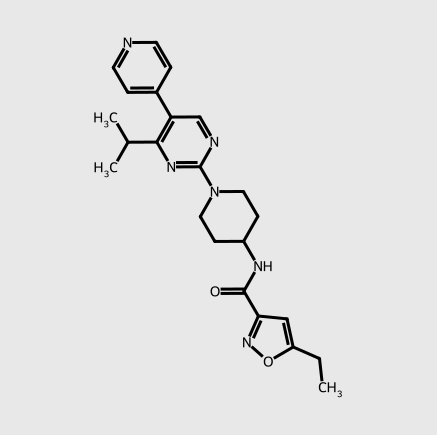 CCc1cc(C(=O)NC2CCN(c3ncc(-c4ccncc4)c(C(C)C)n3)CC2)no1